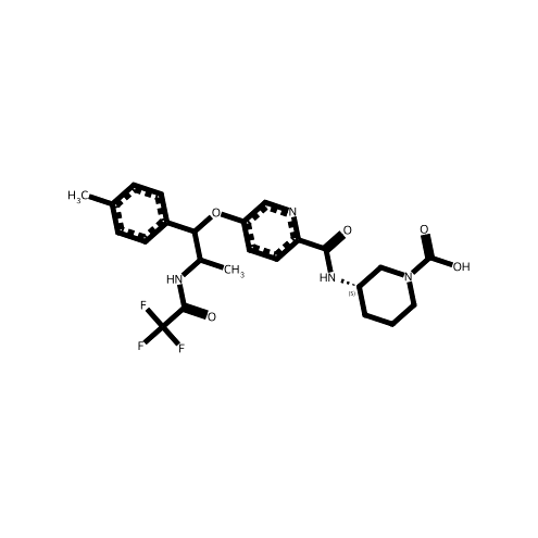 Cc1ccc(C(Oc2ccc(C(=O)N[C@H]3CCCN(C(=O)O)C3)nc2)C(C)NC(=O)C(F)(F)F)cc1